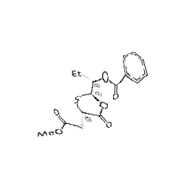 CC[C@H](OC(=O)c1ccccc1)[C@H]1OC(=O)[C@H](CC(=O)OC)S1